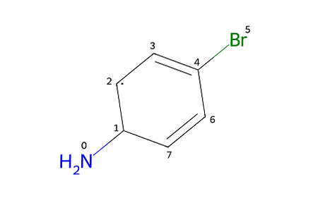 NC1[CH]C=C(Br)C=C1